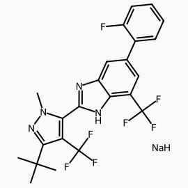 Cn1nc(C(C)(C)C)c(C(F)(F)F)c1-c1nc2cc(-c3ccccc3F)cc(C(F)(F)F)c2[nH]1.[NaH]